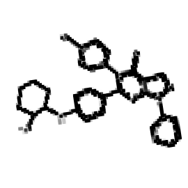 NC1CCCCC1Nc1ccc(-c2nc3c(cnn3-c3ccccc3)c(=O)n2-c2ccc(Cl)cc2)cc1